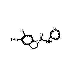 CC(C)(C)c1cc2c(cc1Cl)N(C(=O)Nc1cccnc1)CC2